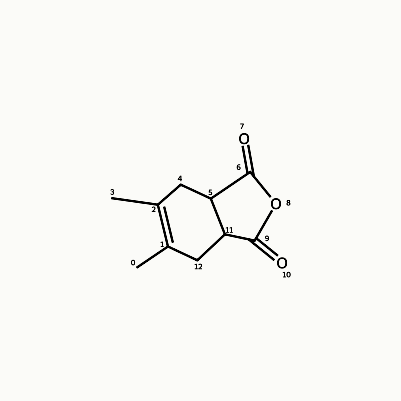 CC1=C(C)CC2C(=O)OC(=O)C2C1